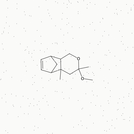 COC1(C)CC2(C)C3C=CC(C3)C2CO1